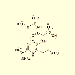 CC[C@H](C)C(NC(C)=O)C(=O)N[C@@H](CCC(=O)O)C(=O)NC(C(=O)NC(C=O)CC(=O)O)[C@@H](C)O